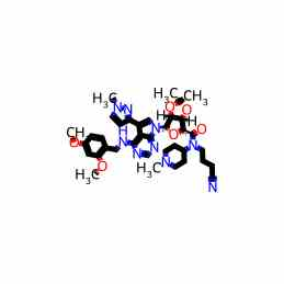 COc1ccc(CNc2ncnc3c2c(-c2ccn(C)n2)cn3[C@@H]2O[C@H](C(=O)N(CCCC#N)C3CCN(C)CC3)[C@H]3OC(C)(C)O[C@H]32)c(OC)c1